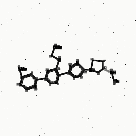 CNc1cc(-c2ccc(-c3ccc(N4CC[C@H](NC(C)(C)C)C4)nn3)c(OCOC)c2)ncn1